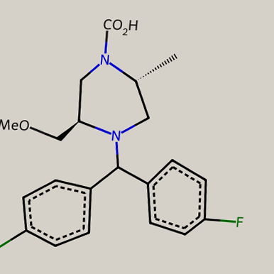 COC[C@H]1CN(C(=O)O)[C@H](C)CN1C(c1ccc(F)cc1)c1ccc(F)cc1